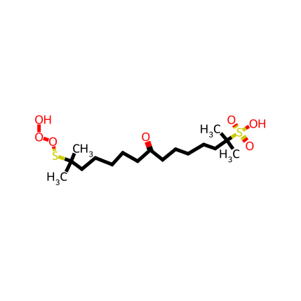 CC(C)(CCCCCC(=O)CCCCCC(C)(C)S(=O)(=O)O)SOOO